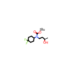 C[C@@H](O)CCN(C(=O)OC(C)(C)C)C1CCC(F)(F)CC1